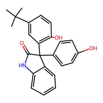 CC(C)(C)c1ccc(O)c(C2(c3ccc(O)cc3)C(=O)Nc3ccccc32)c1